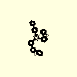 c1ccc(-c2ccc(-c3nc(-c4cccc(-c5ccc6oc7ccccc7c6c5)c4)nc(-c4cccc5oc6ccccc6c45)n3)cc2)cc1